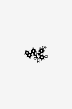 O=C1Nc2ccc(Cl)cc2C(c2ccc(O)cc2)=NC1Cc1ccccc1-c1cccc2c1CCC2